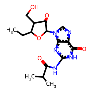 CCC1OC(n2cnc3c(=O)[nH]c(NC(=O)C(C)C)nc32)C(=O)C1CO